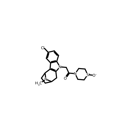 CN1C2CCC1c1c(n(CC(=O)N3CC[S+]([O-])CC3)c3ccc(Cl)cc13)C2